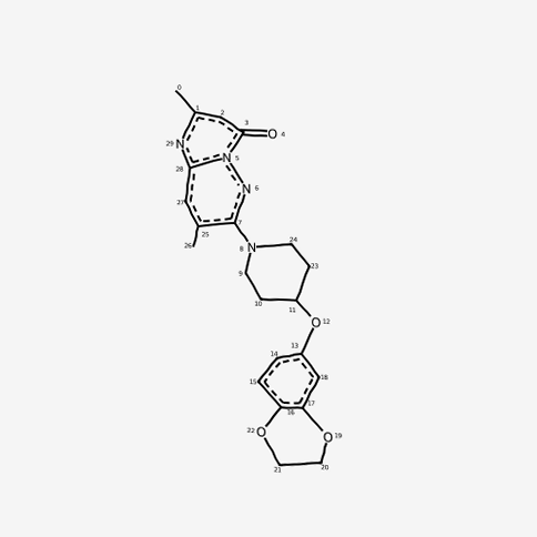 Cc1cc(=O)n2nc(N3CCC(Oc4ccc5c(c4)OCCO5)CC3)c(C)cc2n1